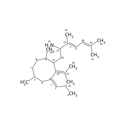 CC/C=C1/CC(C)CCC(C)C(CC(N)/C(C)=C/C=C(C)C)C1=C(C)C